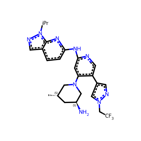 CC(C)n1ncc2ccc(Nc3cc(N4C[C@@H](C)C[C@H](N)C4)c(-c4cnn(CC(F)(F)F)c4)cn3)nc21